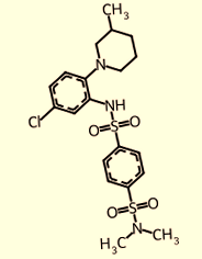 CC1CCCN(c2ccc(Cl)cc2NS(=O)(=O)c2ccc(S(=O)(=O)N(C)C)cc2)C1